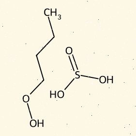 CCCCOO.O=S(O)O